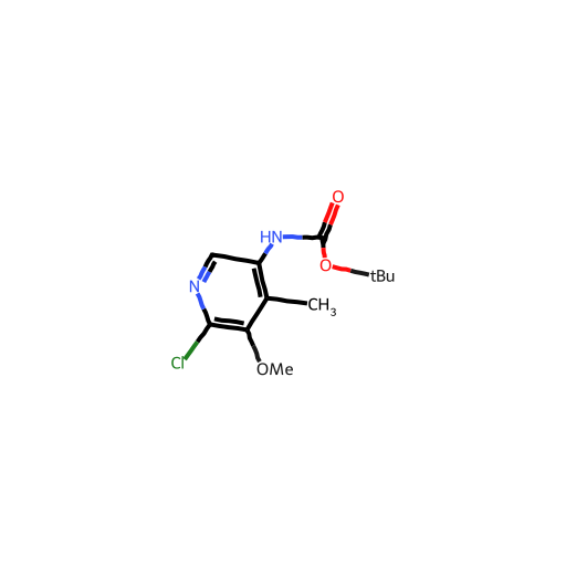 COc1c(Cl)ncc(NC(=O)OC(C)(C)C)c1C